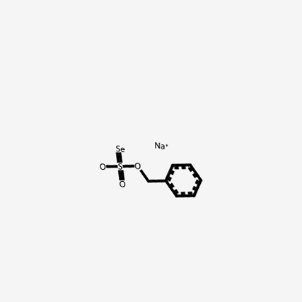 O=S([O-])(=[Se])OCc1ccccc1.[Na+]